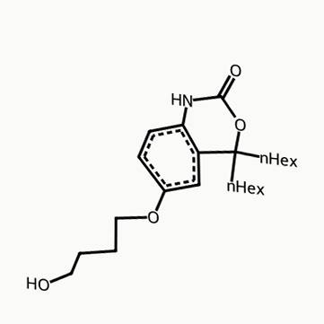 CCCCCCC1(CCCCCC)OC(=O)Nc2ccc(OCCCCO)cc21